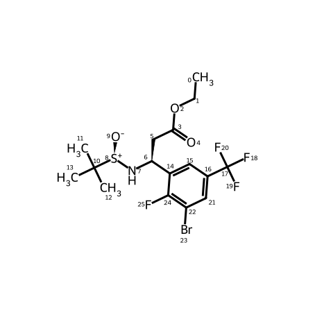 CCOC(=O)C[C@H](N[S@+]([O-])C(C)(C)C)c1cc(C(F)(F)F)cc(Br)c1F